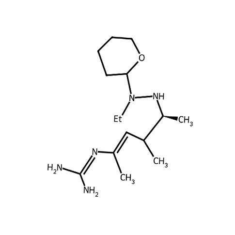 CCN(N[C@@H](C)C(C)/C=C(\C)N=C(N)N)C1CCCCO1